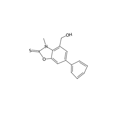 Cn1c(=S)oc2cc(-c3ccccc3)cc(CO)c21